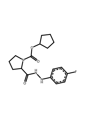 O=C(NNc1ccc(F)cc1)C1CCCN1C(=O)OC1CCCC1